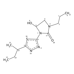 CCCN1CC(O)N(c2nnc(C(C)CC)s2)C1=O